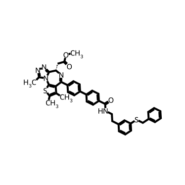 COC(=O)C[C@@H]1N=C(c2ccc(-c3ccc(C(=O)NCCc4cccc(SCc5ccccc5)c4)cc3)cc2)c2c(sc(C)c2C)-n2c(C)nnc21